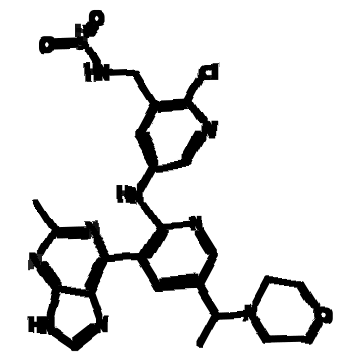 Cc1nc(-c2cc(C(C)N3CCOCC3)cnc2Nc2cnc(Cl)c(CN[SH](=O)=O)c2)c2nc[nH]c2n1